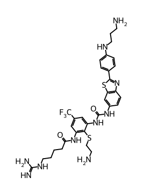 N=C(N)NCCCCC(=O)Nc1cc(C(F)(F)F)cc(NC(=O)Nc2ccc3nc(-c4ccc(NCCCN)cc4)sc3c2)c1SCCN